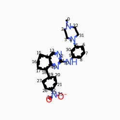 CN1CCN(c2cccc(Nc3ncc4cccc(-c5ccc([N+](=O)[O-])cc5)c4n3)c2)CC1